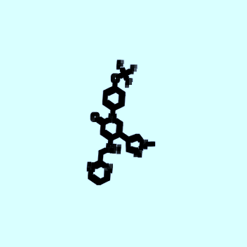 Cn1cc(-c2cn(-c3ccc(OC(F)(F)F)cc3)c(=O)cc2NCc2ncccn2)cn1